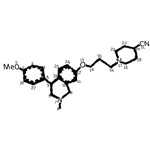 COc1ccc(C2CN(C)Cc3cc(OCCCN4CCC(C#N)CC4)ccc32)cc1